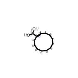 OB(O)/C1=C/CCCCCCCCCC1